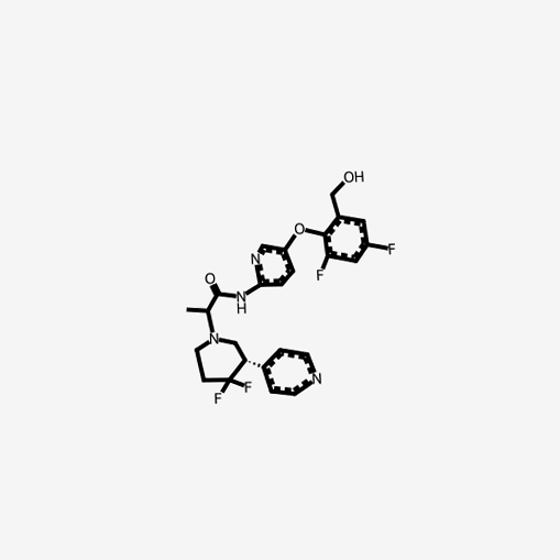 CC(C(=O)Nc1ccc(Oc2c(F)cc(F)cc2CO)cn1)N1CCC(F)(F)[C@@H](c2ccncc2)C1